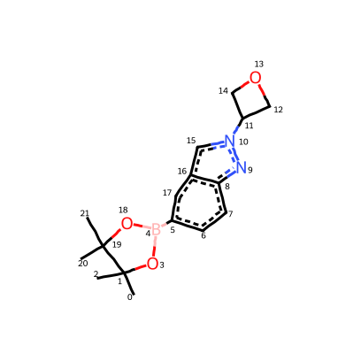 CC1(C)OB(c2ccc3nn(C4COC4)cc3c2)OC1(C)C